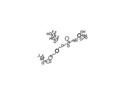 CC(C)c1nc(C(=O)N2CCOC3(CCN(CCc4ccc(CCOCCC(=O)N(CCNCCc5ccc(O)c6c5OCC(=O)N6)C5CCCCC5)cc4)CC3)C2)cs1.O=C(O)C(F)(F)F.O=C(O)C(F)(F)F